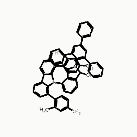 Cc1ccc(-c2cccc3c4cccc(-c5ccc(C)cc5C)c4n(-c4cccc5c4C(O)N(c4c(-c6ccccc6)cc(-c6ccccc6)cc4-c4ccccc4)C5O)c23)c(C)c1